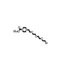 CC(C)(C)OC(=O)N1CCN(CCOCCOCCOCCBr)CC1